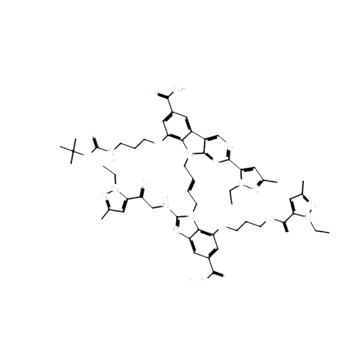 CCn1nc(C)cc1C(=O)CNc1nc2cc(C(N)=O)cc(OCCCOC(=O)c3cc(C)nn3CC)c2n1C/C=C/Cn1c2nc(-c3cc(C)nn3CC)ncc2c2cc(C(N)=O)cc(OCCCNC(=O)OC(C)(C)C)c21